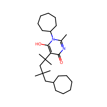 Cc1nc(=O)c(C(C)(C)CC(C)(C)CC2CCCCCC2)c(O)n1C1CCCCCC1